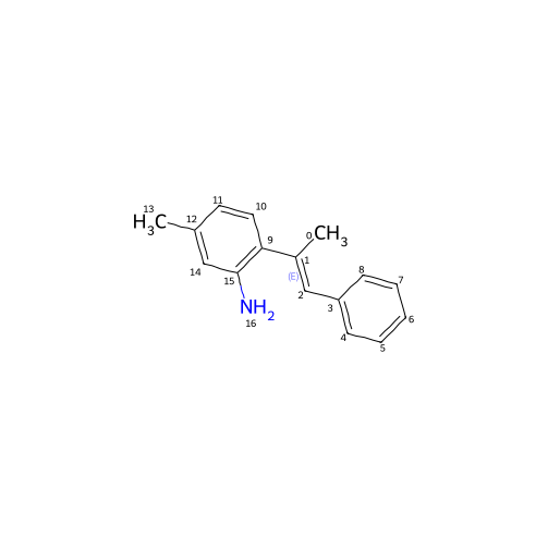 C/C(=C\c1ccccc1)c1ccc(C)cc1N